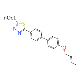 C/C=C/COc1ccc(-c2ccc(-c3nnc(CCCCCCCC)s3)cc2)cc1